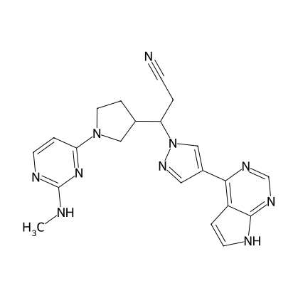 CNc1nccc(N2CCC(C(CC#N)n3cc(-c4ncnc5[nH]ccc45)cn3)C2)n1